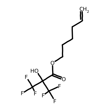 C=CCCCCOC(=O)C(O)(C(F)(F)F)C(F)(F)F